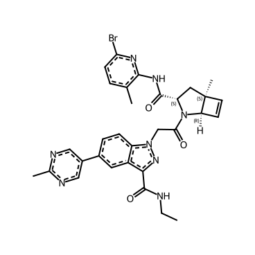 CCNC(=O)c1nn(CC(=O)N2[C@H](C(=O)Nc3nc(Br)ccc3C)C[C@@]3(C)C=C[C@@H]23)c2ccc(-c3cnc(C)nc3)cc12